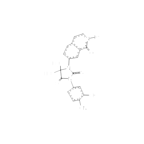 CCn1ccc2ccc(N3C(=S)N(c4ccc(C#N)c(C(F)(F)F)c4)C(=O)C3(C)C)cc2c1=O